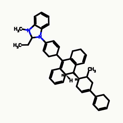 CCC1N(C)c2ccccc2N1C1=CCC(C2=C3C=CC=C[C@@H]3C([C@@H]3CC=C(C4=CC=CCC4)CC3C)C3=C2CCC=C3)C=C1